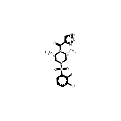 C[C@@H]1CN(S(=O)(=O)c2cccc(Cl)c2F)C[C@H](C)N1C(=O)c1c[nH]nn1